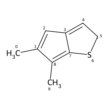 CC1=CC2=C[CH]SC2=C1C